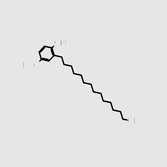 CCCCCCCCCCCCCCCc1cc(C)ccc1C